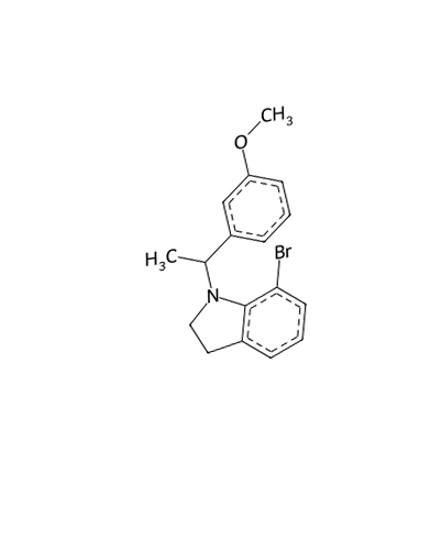 COc1cccc(C(C)N2CCc3cccc(Br)c32)c1